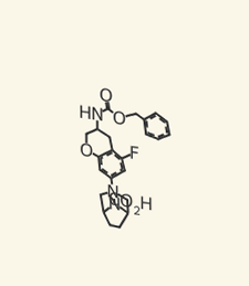 O=C(NC1COc2cc(N3CC4CCC(C3)N4C(=O)O)cc(F)c2C1)OCc1ccccc1